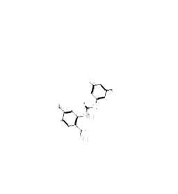 O=C(Nc1cc(Cl)cc(Br)c1)Nc1cc(Cl)ccc1CO